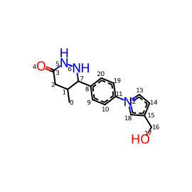 CC1CC(=O)NNC1c1ccc(-n2ccc(CO)c2)cc1